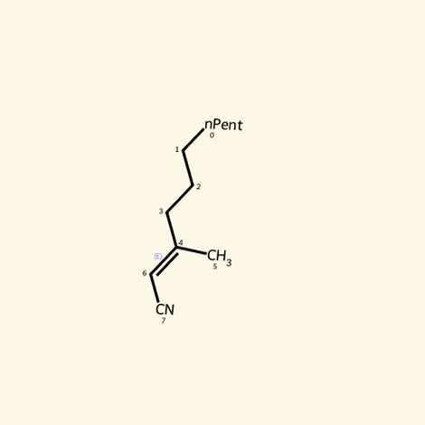 CCCCCCCC/C(C)=C/C#N